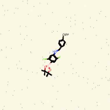 COc1ccc(CNc2cc(F)c(B3OC(C)(C)C(C)(C)O3)cc2F)cc1